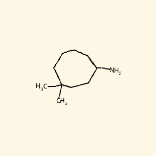 CC1(C)CCCCC(N)CC1